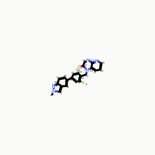 Cn1cc2cc(-c3cc(F)c(Cn4c(=O)cnc5ncccc54)c(F)c3)ccc2n1